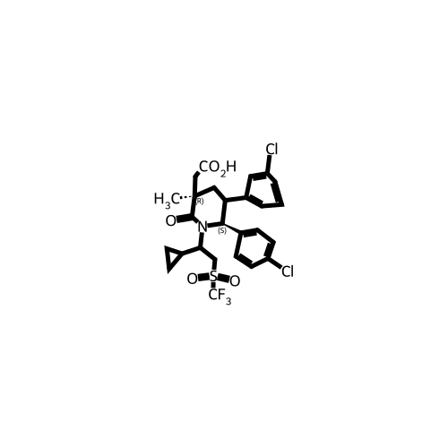 C[C@]1(CC(=O)O)CC(c2cccc(Cl)c2)[C@@H](c2ccc(Cl)cc2)N(C(CS(=O)(=O)C(F)(F)F)C2CC2)C1=O